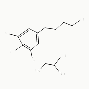 CC(N)CN.CCCCCc1cc(Br)c(O)c(Br)c1